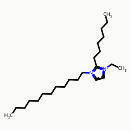 CCCCCCCCCCCCn1cc[n+](CC)c1CCCCCCC